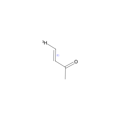 [3H]/C=C/C(C)=O